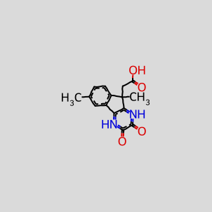 Cc1ccc2c(c1)-c1[nH]c(=O)c(=O)[nH]c1C2(C)CC(=O)O